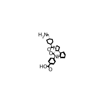 NC[C@H]1CC[C@H](C(=O)N2CC[C@@H](c3ccccc3)[C@@H]2C(=O)Nc2ccc(C(=O)O)cc2)CC1